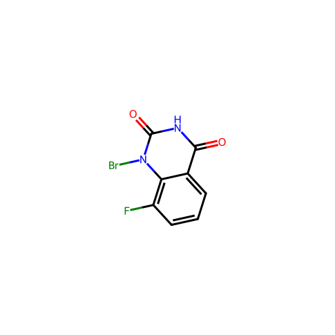 O=c1[nH]c(=O)n(Br)c2c(F)cccc12